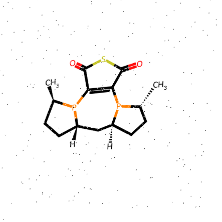 C[C@@H]1CC[C@H]2C[C@@H]3CC[C@@H](C)P3C3=C(C(=O)SC3=O)P21